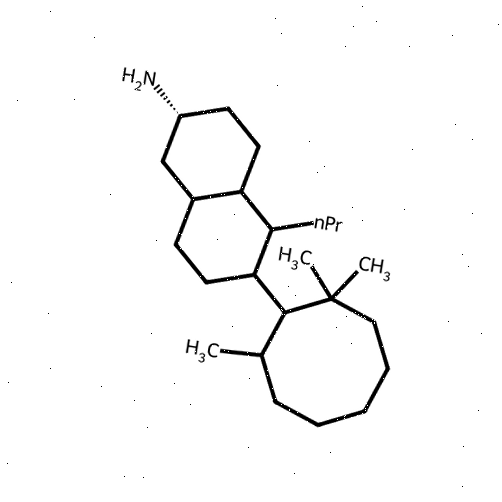 CCCC1C2CC[C@@H](N)CC2CCC1C1C(C)CCCCCC1(C)C